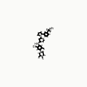 C=C(/C=C(\N=C/C)N1CCCC1c1cccc(C(F)(F)CCC)c1)Nc1cc(C)c(N2CCN(C)C(C)C2)cc1CC